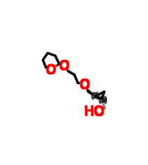 OC[C@H]1C[C@@H]1COCCCOC1CCCCO1